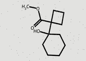 COC(=O)C1(C2(O)CCCCC2)CCC1